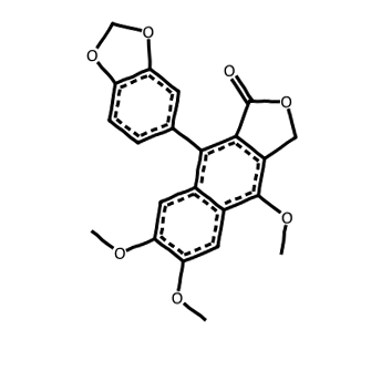 COc1cc2c(OC)c3c(c(-c4ccc5c(c4)OCO5)c2cc1OC)C(=O)OC3